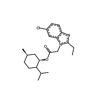 CCc1nc2ccc(Cl)cc2n1CC(=O)O[C@@H]1C[C@H](C)CCC1C(C)C